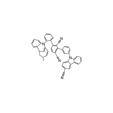 CC1C=CC2=CC(C1)c1ccccc1N2c1ccccc1-c1ccc(C#N)c(-c2cccc(-n3c4ccccc4c4cc(C#N)ccc43)c2)c1C#N